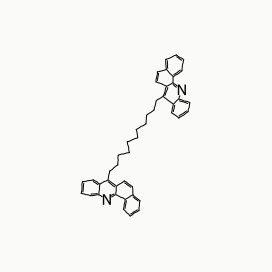 c1ccc2c(c1)ccc1c(CCCCCCCCCCCc3c4ccccc4nc4c3ccc3ccccc34)c3ccccc3nc12